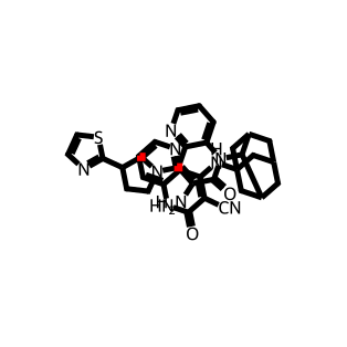 N#Cc1c(NC23CC4CC(C2)C(n2c(=O)c(N)c(N5CCC(c6nccs6)C5)c5ncccc52)C(C4)C3)c2ncccc2[nH]c1=O